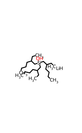 CCCCC(CC)C[Si](O)(CC(CC)CCCC)CC(CC)CCCC.[LiH]